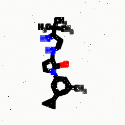 Cc1cc(C2CC2)cc(N2CCC(N/C=C\C(=N)C(C)(C)C)C2=O)c1